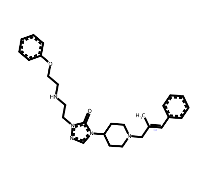 C/C(=C\c1ccccc1)CN1CCC(n2cnn(CCNCCOc3ccccc3)c2=O)CC1